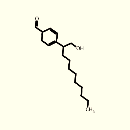 CCCCCCCCCC(CO)C1=CCC(C=O)C=C1